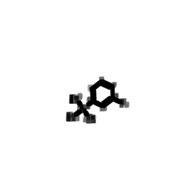 [CH2]C[N+](CC)(CC)c1cccc(F)c1